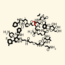 CC[C@H](C)[C@@H]([C@@H](CC(=O)N1CCC[C@H]1C[C@@H](C)C(=O)N[C@H](C)[C@@H](O)c1ccccc1)OC)N(C)C(=O)[C@@H](NC(=O)[C@H](C(C)C)N(C)C(=O)OCc1ccc(NC(=O)[C@H](CCCNC(N)=O)NC(=O)[C@@H](NC(=O)[C@H](CCC(N)=O)NC(=O)CCOCCC(=O)NCCNc2ncc(-c3cc(C)cc(F)c3)c(N3CCC(N)CC3)c2-c2nc3ccc(Cl)cc3[nH]2)C(C)C)c(O[C@@H]2O[C@H](CO)[C@@H](O)[C@H](O)[C@H]2O)c1)C(C)C